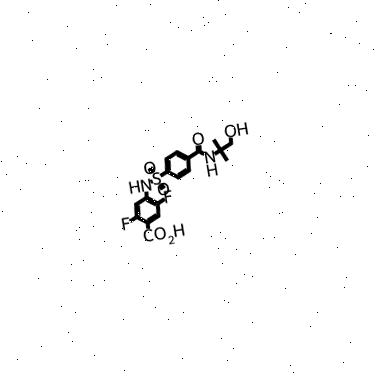 CC(C)(CO)NC(=O)c1ccc(S(=O)(=O)Nc2cc(F)c(C(=O)O)cc2F)cc1